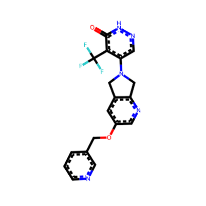 O=c1[nH]ncc(N2Cc3cc(OCc4cccnc4)cnc3C2)c1C(F)(F)F